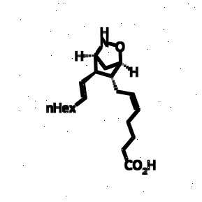 CCCCCC/C=C/[C@@H]1[C@@H](C/C=C\CCCC(=O)O)[C@H]2C[C@@H]1NO2